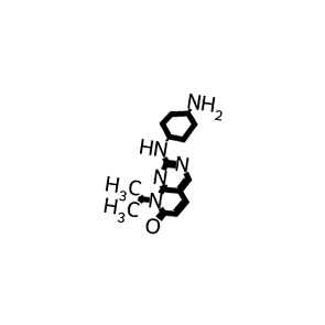 CC(C)n1c(=O)ccc2cnc(N[C@H]3CC[C@H](N)CC3)nc21